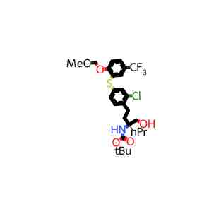 CCC[C@@](CO)(CCc1ccc(Sc2cc(C(F)(F)F)ccc2OCOC)cc1Cl)NC(=O)OC(C)(C)C